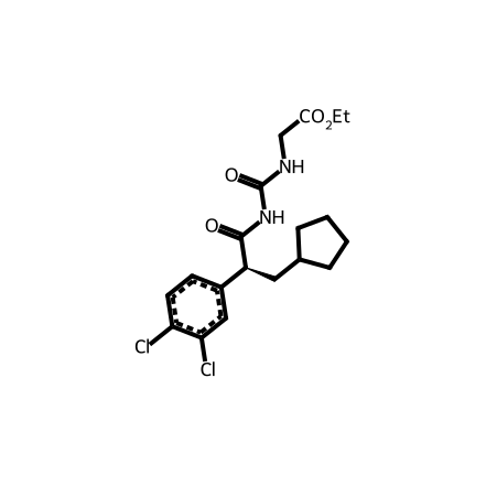 CCOC(=O)CNC(=O)NC(=O)[C@@H](CC1CCCC1)c1ccc(Cl)c(Cl)c1